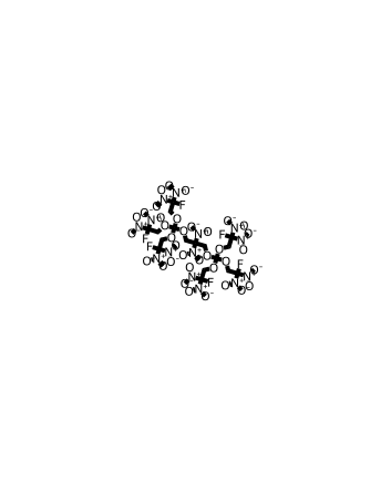 O=[N+]([O-])C(F)(COC(OCC(F)([N+](=O)[O-])[N+](=O)[O-])(OCC(F)([N+](=O)[O-])[N+](=O)[O-])OCC(COC(OCC(F)([N+](=O)[O-])[N+](=O)[O-])(OCC(F)([N+](=O)[O-])[N+](=O)[O-])OCC(F)([N+](=O)[O-])[N+](=O)[O-])([N+](=O)[O-])[N+](=O)[O-])[N+](=O)[O-]